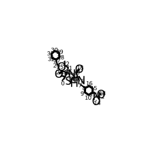 CC1(C)S[C@@H]2[C@@H](N=Cc3ccc([N+](=O)[O-])cc3)C(=O)N2[C@@]1(CI)C(=O)OCc1ccccc1